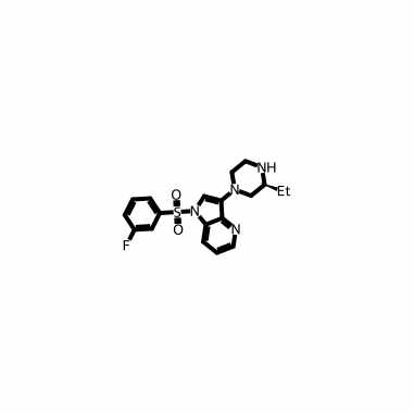 CC[C@H]1CN(c2cn(S(=O)(=O)c3cccc(F)c3)c3cccnc23)CCN1